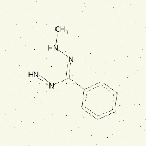 CN/N=C(\N=N)c1ccccc1